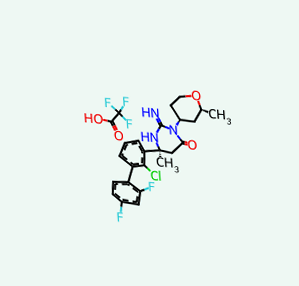 C[C@H]1C[C@@H](N2C(=N)N[C@](C)(c3cccc(-c4ccc(F)cc4F)c3Cl)CC2=O)CCO1.O=C(O)C(F)(F)F